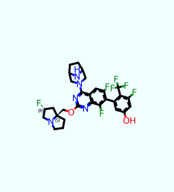 Oc1cc(F)c(C(F)(F)F)c(-c2c(F)cc3c(N4CC5CCC(C4)N5)nc(OC[C@@]45CCCN4C[C@H](F)C5)nc3c2F)c1